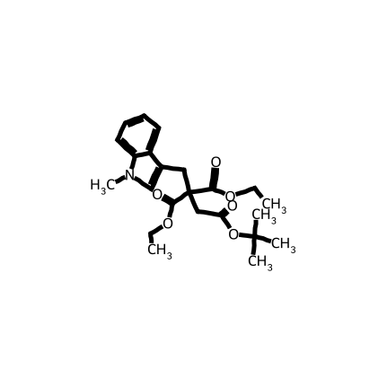 CCOC(=O)C(CC(=O)OC(C)(C)C)(Cc1cn(C)c2ccccc12)C(=O)OCC